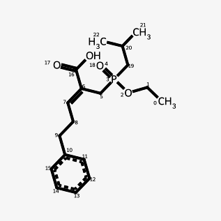 CCOP(=O)(CC(=CCCc1ccccc1)C(=O)O)CC(C)C